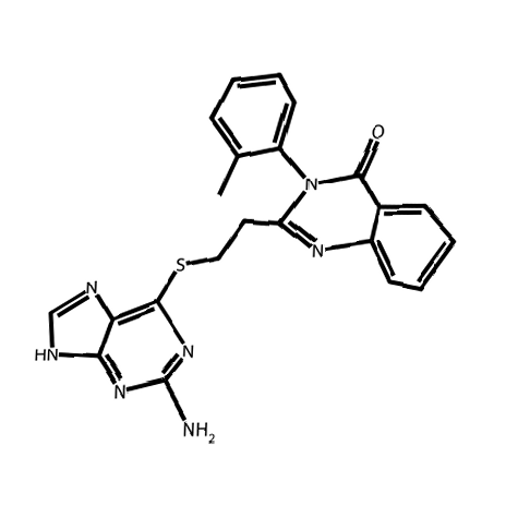 Cc1ccccc1-n1c(CCSc2nc(N)nc3[nH]cnc23)nc2ccccc2c1=O